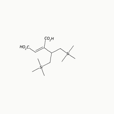 C[Si](C)(C)CC(C[Si](C)(C)C)C(=CC(=O)O)C(=O)O